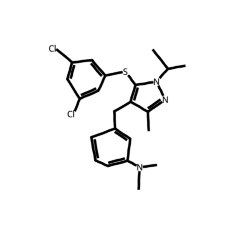 Cc1nn(C(C)C)c(Sc2cc(Cl)cc(Cl)c2)c1Cc1cccc(N(C)C)c1